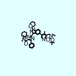 CCN(Cc1cncc(-c2ccc3c(c2)c(-c2nc(-c4ccccc4)c(C(=O)N(C)C4CCCCC4)[nH]2)nn3C2CCCCO2)c1C)C(=O)OC(C)(C)C